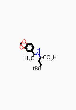 C[C@@H](N[C@@H](CCC(C)(C)C)C(=O)O)c1ccc2c(c1)OCO2